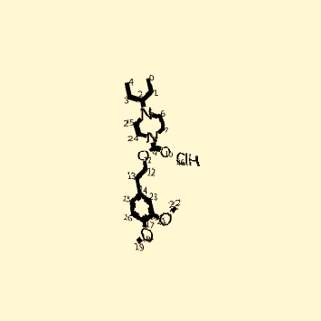 CCC(CC)N1CCN(C(=O)OCCc2ccc(OC)c(OC)c2)CC1.Cl